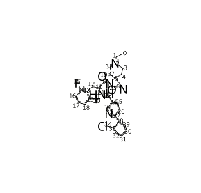 CCN1CCC(C#N)(NC(=O)C(Cc2c(F)cccc2F)NC(=O)c2ccc(-c3ccccc3Cl)nc2)CC1